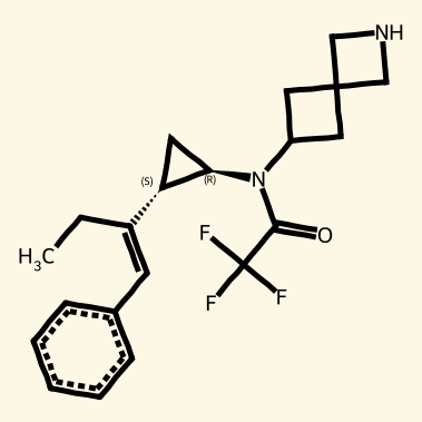 CCC(=Cc1ccccc1)[C@@H]1C[C@H]1N(C(=O)C(F)(F)F)C1CC2(CNC2)C1